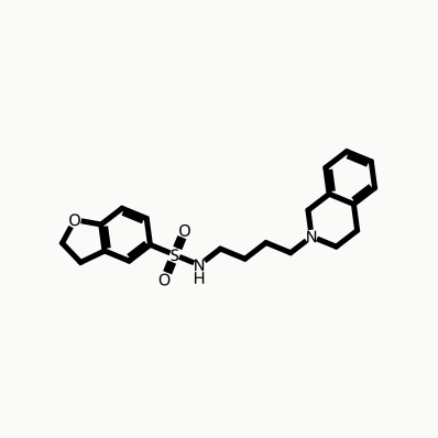 O=S(=O)(NCCCCN1CCc2ccccc2C1)c1ccc2c(c1)CCO2